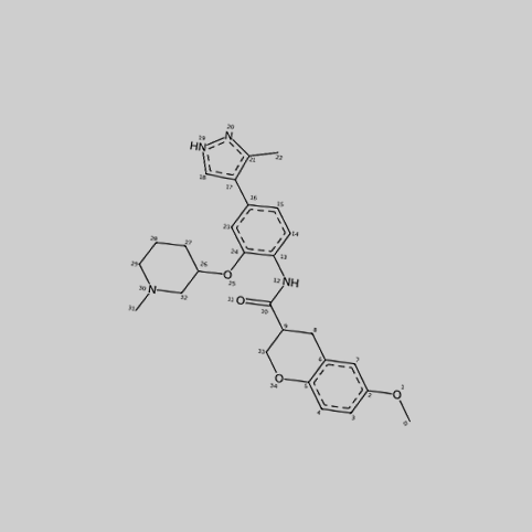 COc1ccc2c(c1)CC(C(=O)Nc1ccc(-c3c[nH]nc3C)cc1OC1CCCN(C)C1)CO2